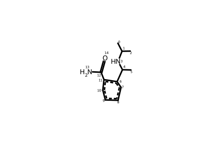 CC(C)NC(C)c1ccccc1C(N)=O